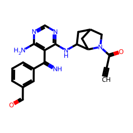 C#CC(=O)N1CC2CC(Nc3ncnc(N)c3C(=N)c3cccc(C=O)c3)C1C2